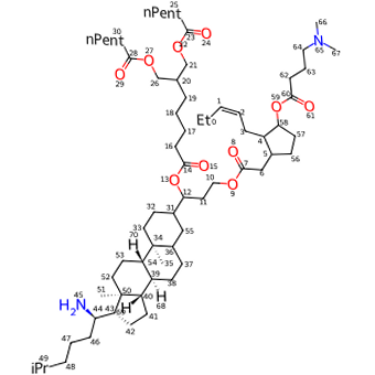 CC/C=C\CC1C(CC(=O)OCCC(OC(=O)CCCCC(COC(=O)CCCCC)COC(=O)CCCCC)C2CC[C@@]3(C)C(CC[C@H]4[C@@H]5CC[C@H]([C@H](N)CCCC(C)C)[C@@]5(C)CC[C@@H]43)C2)CCC1OC(=O)CCCN(C)C